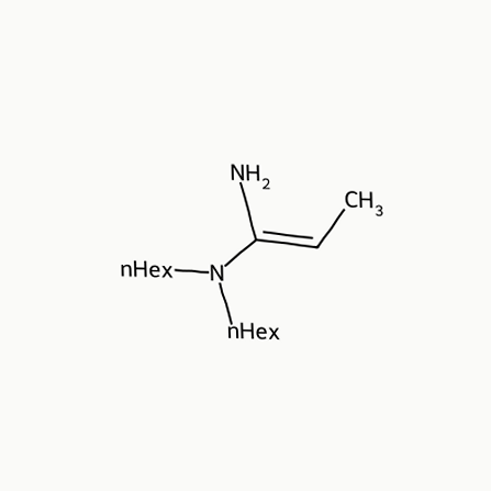 CC=C(N)N(CCCCCC)CCCCCC